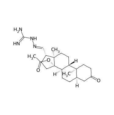 CC(=O)O[C@]12CC[C@H](/C=N/NC(=N)N)[C@@]1(C)CC[C@H]1[C@H]2CC[C@@H]2CC(=O)CC[C@@]21C